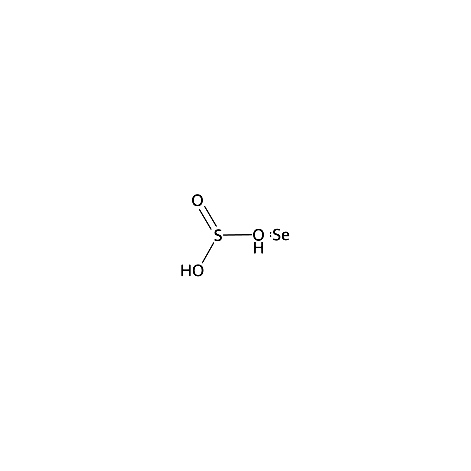 O=S(O)O.[Se]